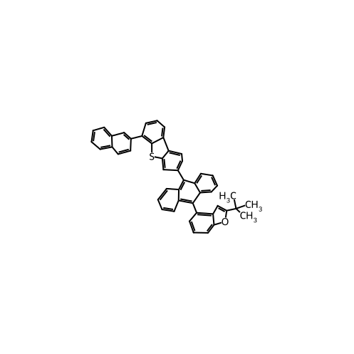 CC(C)(C)c1cc2c(-c3c4ccccc4c(-c4ccc5c(c4)sc4c(-c6ccc7ccccc7c6)cccc45)c4ccccc34)cccc2o1